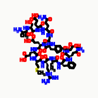 CSCC[C@H](NC(=O)[C@H](CCC(=O)O)NC(=O)[C@H](CCC(=O)O)NC(=O)[C@H](Cc1ccc(O)cc1)NC(=O)CNC(=O)[C@H](CCC(N)=O)NC(=O)[C@H](CCC(=O)O)NC(=O)[C@H](CO)NC(=O)[C@H](C)N)C(=O)N[C@@H](CCCNC(=N)N)C(=O)N[C@@H](C)C(=O)N[C@@H](Cc1ccccc1)C(=O)N[C@@H](CCC(N)=O)C(=O)NCC(=O)O